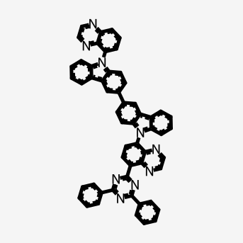 c1ccc(-c2nc(-c3ccccc3)nc(-c3ccc(-n4c5ccccc5c5cc(-c6ccc7c(c6)c6ccccc6n7-c6cccc7nccnc67)ccc54)c4nccnc34)n2)cc1